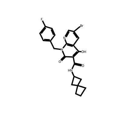 O=C(NC1CC2(CCC2)C1)c1c(O)c2cc(Br)cnc2n(Cc2ccc(F)cc2)c1=O